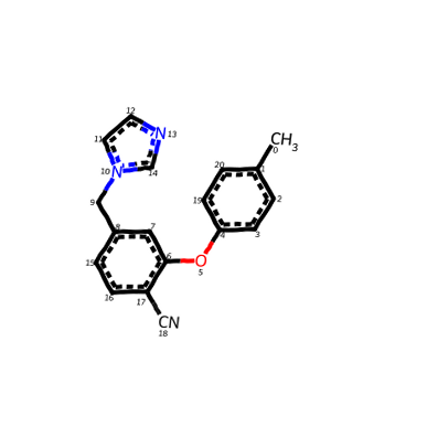 Cc1ccc(Oc2cc(Cn3ccnc3)ccc2C#N)cc1